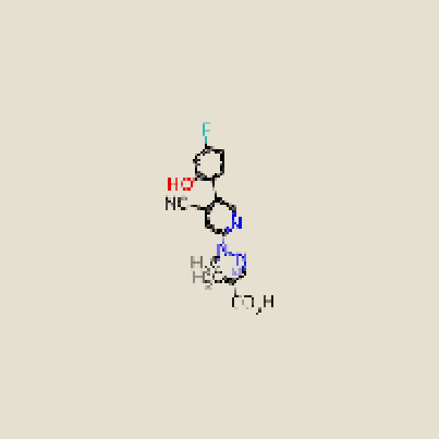 C=C(/C=N\N(C)c1cc(C#N)c(-c2ccc(F)cc2O)cn1)C(=O)O